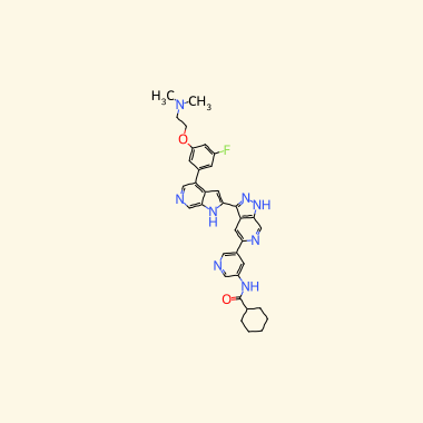 CN(C)CCOc1cc(F)cc(-c2cncc3[nH]c(-c4n[nH]c5cnc(-c6cncc(NC(=O)C7CCCCC7)c6)cc45)cc23)c1